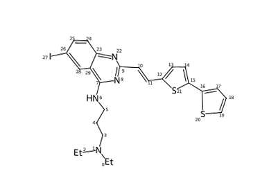 CCN(CC)CCCNc1nc(C=Cc2ccc(-c3cccs3)s2)nc2ccc(I)cc12